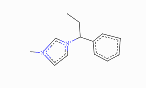 CCC(c1ccccc1)[n+]1ccn(C)c1